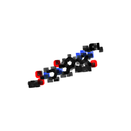 CNC(=O)c1cc(-c2ccc3c(=O)n(C4CCN(C(=O)OC(C)(C)C)CC4)ccc3c2)nn2cc(C)nc12